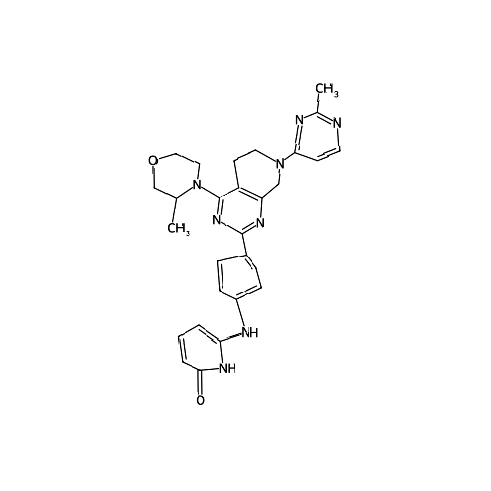 Cc1nccc(N2CCc3c(nc(-c4ccc(Nc5cccc(=O)[nH]5)cc4)nc3N3CCOCC3C)C2)n1